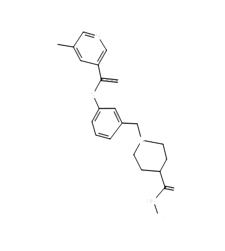 Cc1cncc(C(=O)Nc2cccc(CN3CCC(C(=O)NC(C)(C)C)CC3)c2)c1